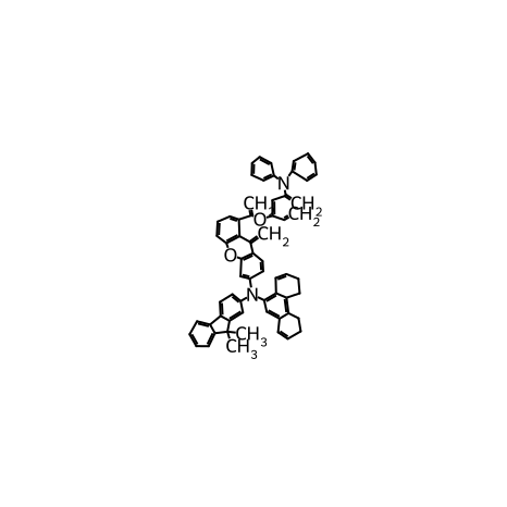 C=C/C(=C\C(=C)N(c1ccccc1)c1ccccc1)OC(=C)c1cccc2c1C(=C)c1ccc(N(c3ccc4c(c3)C(C)(C)c3ccccc3-4)c3cc4c(c5c3C=CCC5)CCC=C4)cc1O2